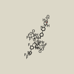 COC(=O)NC(C(=O)N[C@@H](Cc1ccc(-c2ccc(N3C[C@H]4C[C@@H]3CN4C3COC3)nc2)cc1)[C@@H](O)CN(Cc1c(F)cc(-c2ccn(C(F)F)n2)cc1F)NC(=O)[C@@H](NC(=O)OC)C(C)(C)C(F)(F)F)C(C)(C)C(F)(F)F